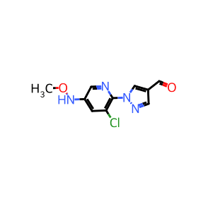 CONc1cnc(-n2cc(C=O)cn2)c(Cl)c1